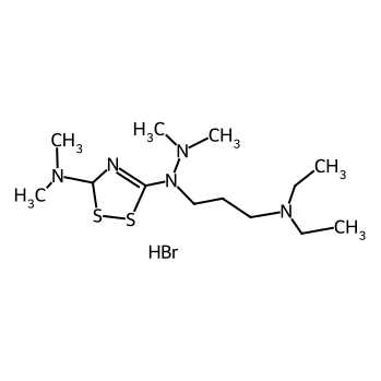 Br.CCN(CC)CCCN(C1=NC(N(C)C)SS1)N(C)C